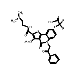 COc1c(C(=O)NCCN(C)C)sc2c1c(=O)n(CC(=O)c1ccccc1)c1ccccc21.O=C(O)C(F)(F)F